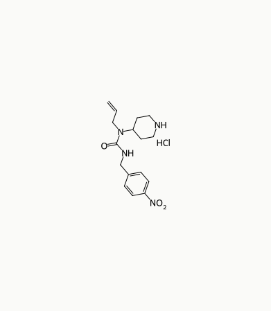 C=CCN(C(=O)NCc1ccc([N+](=O)[O-])cc1)C1CCNCC1.Cl